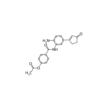 CC(=O)Oc1ccc(C(=O)Nc2cc(C3=CC(=O)CC3)ccc2N)cc1